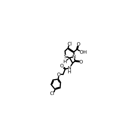 O=C(COc1ccc(Cl)cc1)NC1C(=O)N2C(C(=O)O)=C(Cl)CS[C@@H]12